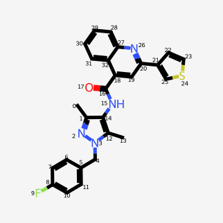 Cc1nn(Cc2ccc(F)cc2)c(C)c1NC(=O)c1cc(-c2ccsc2)nc2ccccc12